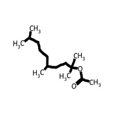 CC(=O)OC(C)(C)CCC(C)CCCC(C)C